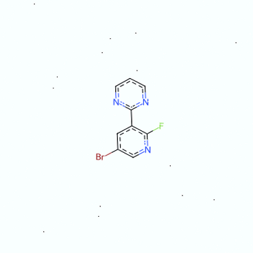 Fc1ncc(Br)cc1-c1ncccn1